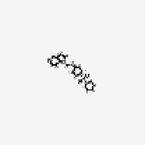 O=S(=O)(c1ccccc1)c1ccc(CCn2ccc3cnccc32)cc1